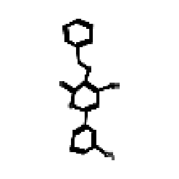 Cc1cccc(-c2cc(O)c(SCc3ccccc3)c(=O)o2)c1